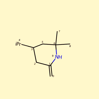 C=C1CC(C(C)C)CC(C)(C)N1